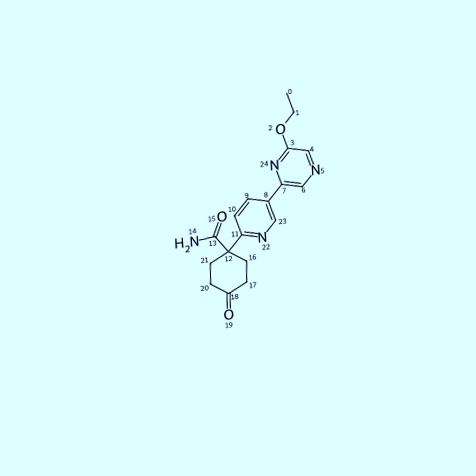 CCOc1cncc(-c2ccc(C3(C(N)=O)CCC(=O)CC3)nc2)n1